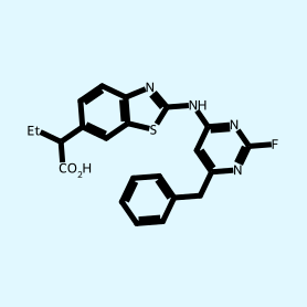 CCC(C(=O)O)c1ccc2nc(Nc3cc(Cc4ccccc4)nc(F)n3)sc2c1